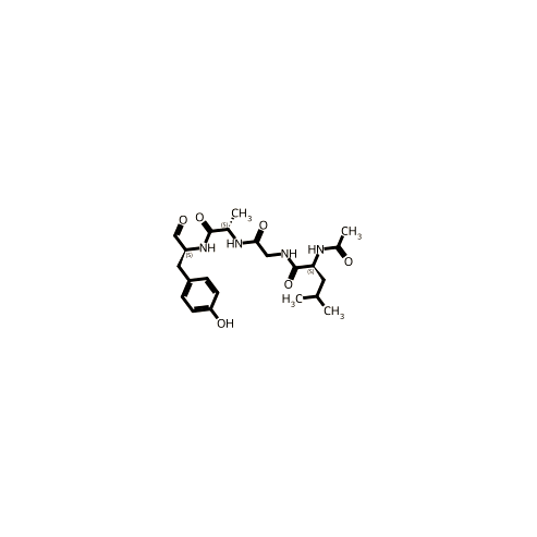 CC(=O)N[C@@H](CC(C)C)C(=O)NCC(=O)N[C@@H](C)C(=O)N[C@H](C=O)Cc1ccc(O)cc1